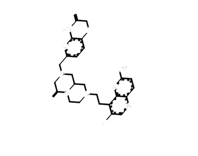 COc1ccc2ncc(F)c(CCN3CCN4C(=O)CN(Cc5ccc6c(n5)NC(=O)CS6)CC4C3)c2n1